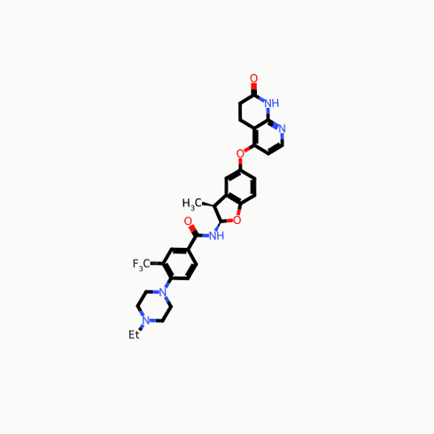 CCN1CCN(c2ccc(C(=O)N[C@@H]3Oc4ccc(Oc5ccnc6c5CCC(=O)N6)cc4[C@@H]3C)cc2C(F)(F)F)CC1